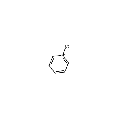 [CH2]C[n+]1ccccc1